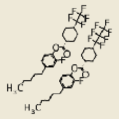 CCCCCc1ccc(OC(=O)[C@H]2CC[C@H](C(F)(F)C(F)(F)C(F)(F)F)CC2)c(F)c1.CCCCCc1ccc(OC(=O)[C@H]2CC[C@H](C(F)(F)C(F)(F)F)CC2)c(F)c1